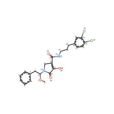 COC(Cc1ccccc1)N1CC(C(=O)NCCCc2ccc(Cl)c(Cl)c2)=C(O)C1=O